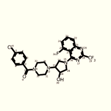 O=C(c1ccc(Cl)cc1)N1CCN(C2CN(c3nc(C(F)(F)F)nc4cccc(F)c34)CC2O)CC1